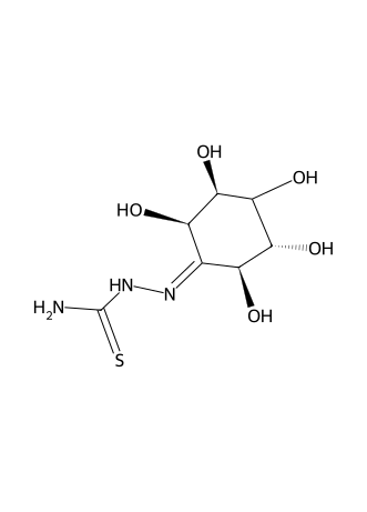 NC(=S)NN=C1[C@@H](O)[C@@H](O)C(O)[C@H](O)[C@H]1O